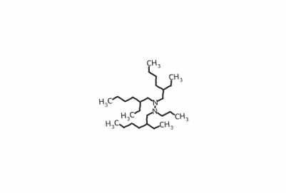 CCCCC(CC)CN(CCC)N(CC(CC)CCCC)CC(CC)CCCC